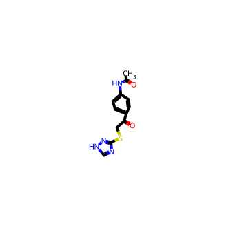 CC(=O)Nc1ccc(C(=O)CSc2nc[nH]n2)cc1